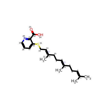 CC(C)=CCC/C(C)=C/CC/C(C)=C/CSc1cccnc1C(=O)O